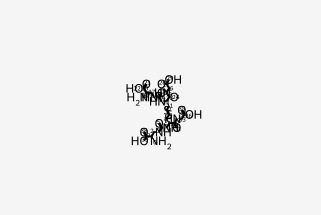 N[C@@H](CNC(=O)N[C@@H](CSSC[C@H](NC(=O)NC[C@H](N)C(=O)O)C(=O)NCC(=O)O)C(=O)NCC(=O)O)C(=O)O